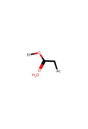 CCOC(=O)CC(C)=O.O